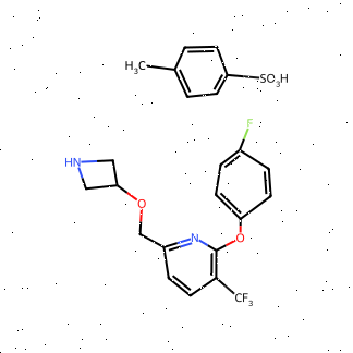 Cc1ccc(S(=O)(=O)O)cc1.Fc1ccc(Oc2nc(COC3CNC3)ccc2C(F)(F)F)cc1